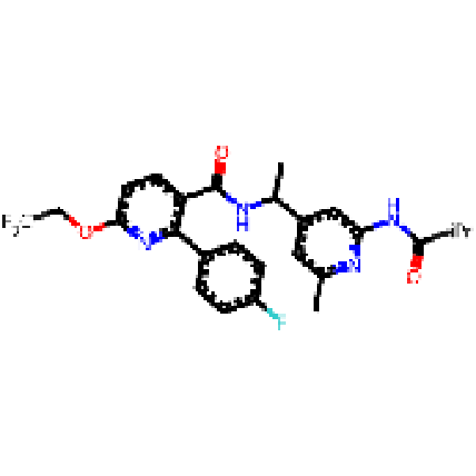 Cc1cc(C(C)NC(=O)c2ccc(OCC(F)(F)F)nc2-c2ccc(F)cc2)cc(NC(=O)C(C)C)n1